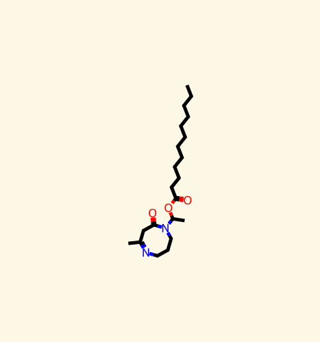 CCCCCCCCCCCC(=O)OC(C)N1CCC/N=C(/C)CC1=O